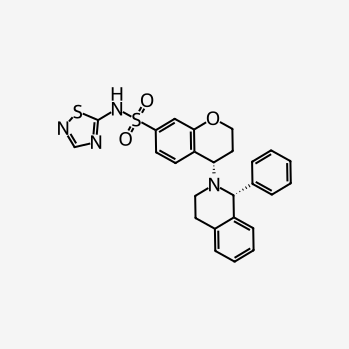 O=S(=O)(Nc1ncns1)c1ccc2c(c1)OCC[C@@H]2N1CCc2ccccc2[C@H]1c1ccccc1